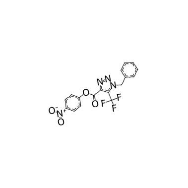 O=C(Oc1ccc([N+](=O)[O-])cc1)c1nnn(Cc2ccccc2)c1C(F)(F)F